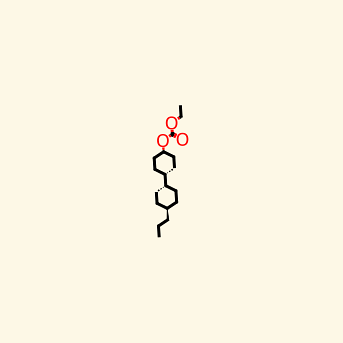 CCC[C@H]1CC[C@H]([C@H]2CC[C@H](OC(=O)OCC)CC2)CC1